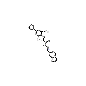 Cc1cc(-c2ccoc2)cc(C)c1OCC(=O)N/N=C/c1ccc2cc[nH]c2c1